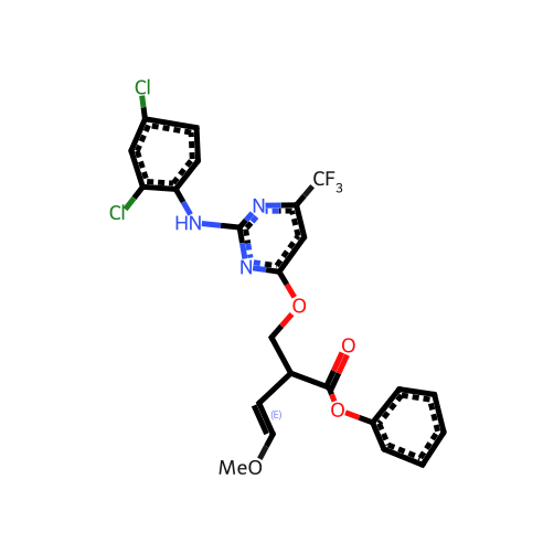 CO/C=C/C(COc1cc(C(F)(F)F)nc(Nc2ccc(Cl)cc2Cl)n1)C(=O)Oc1ccccc1